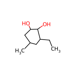 CCC1CC(C)CC(O)C1O